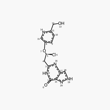 O=c1[nH]c(C[C@H](Cl)Oc2ccc(CO)nc2)nc2c[nH]nc12